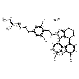 COc1cc(C2CCCc3nc(SCc4c(F)cc(CCCN/C(N)=N/C#N)cc4F)n(-c4ccc(F)cc4)c32)ccc1Cl.Cl